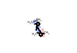 C=C1C2=C(C=C3c4nc5cc(F)c(NC)c(CN(C)C)c5cc4CN13)[C@@](O)(CC)C(=O)CC2